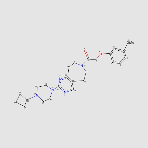 COc1cccc(OCC(=O)N2CCc3cnc(N4CCN(C5CCC5)CC4)nc3CC2)c1